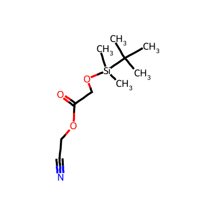 CC(C)(C)[Si](C)(C)OCC(=O)OCC#N